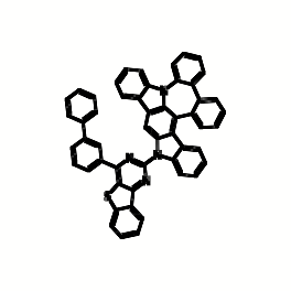 c1ccc(-c2cccc(-c3nc(-n4c5ccccc5c5c6c7c(cc54)c4ccccc4n7-c4ccccc4-c4ccccc4-6)nc4c3sc3ccccc34)c2)cc1